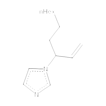 C=CC(CCCCCCCC)n1ccnc1